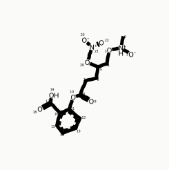 C[NH+]([O-])OCC(CCC(=O)Oc1ccccc1C(=O)O)O[N+](=O)[O-]